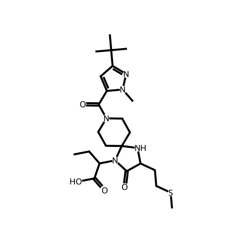 CCC(C(=O)O)N1C(=O)C(CCSC)NC12CCN(C(=O)c1cc(C(C)(C)C)nn1C)CC2